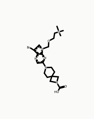 C[Si](C)(C)CCOCn1cc(Br)c2ncc(N3CCC4(CC3)CN(C(=O)O)C4)nc21